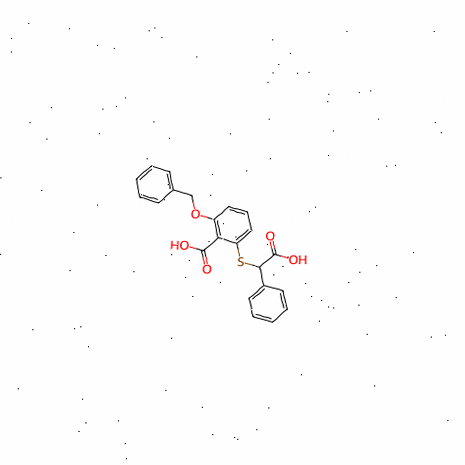 O=C(O)c1c(OCc2ccccc2)cccc1SC(C(=O)O)c1ccccc1